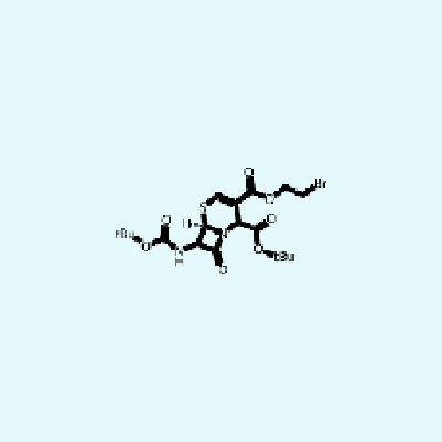 CC(C)(C)OC(=O)NC1C(=O)N2C(C(=O)OC(C)(C)C)C(C(=O)OCCBr)=CS[C@H]12